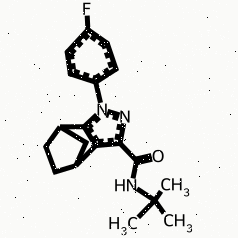 CC(C)(C)NC(=O)c1nn(-c2ccc(F)cc2)c2c1C1CCC2C1